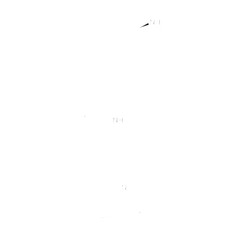 N[C@@H]1C[C@H]1c1ccc(NC(=O)c2cccc(N3CCOC3O)c2)cc1